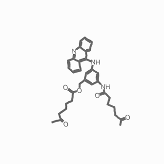 CC(=O)CCCCC(=O)Nc1cc(COC(=O)CCCCC(C)=O)cc(Nc2c3ccccc3nc3ccccc23)c1